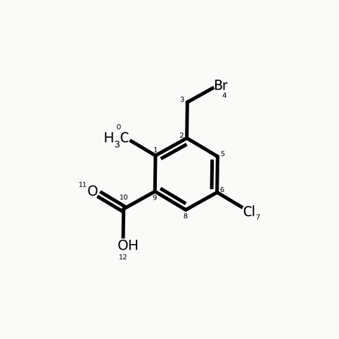 Cc1c(CBr)cc(Cl)cc1C(=O)O